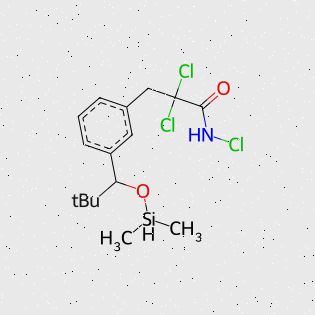 C[SiH](C)OC(c1cccc(CC(Cl)(Cl)C(=O)NCl)c1)C(C)(C)C